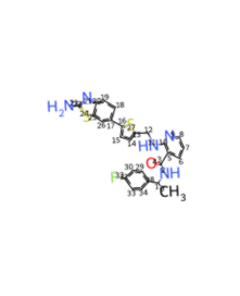 CC(NC(=O)c1cccnc1NCc1ccc(-c2ccc3nc(N)sc3c2)s1)c1ccc(F)cc1